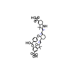 CC1(C)/C(=C\C=C2/CCCC(/C=C/C3Oc4ccc(S(=O)(=O)O)cc4C3(C)C)C2Oc2ccc(C(=O)O)cc2)NC2CCC(S(=O)(=O)O)=CC21